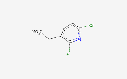 O=C(O)Cc1ccc(Cl)nc1F